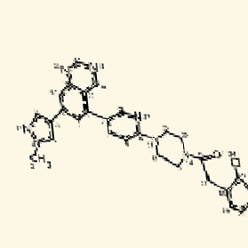 Cn1cc(-c2cc(-c3ccc(N4CCN(C(=O)Cc5ccccc5Cl)CC4)nc3)c3cncnc3c2)cn1